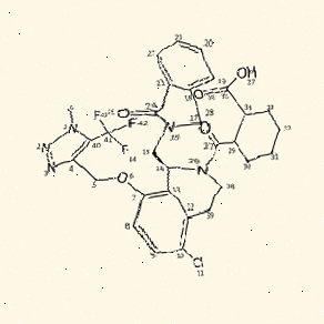 Cn1nnc(COc2ccc(Cl)c3c2[C@@H](CN2Cc4ccccc4C2=O)N(C(=O)C2CCCCC2C(=O)O)CC3)c1C(F)(F)F